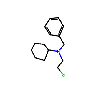 ClCCN(Cc1ccccc1)C1CCCCC1